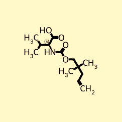 C=CCC(C)(C)COC(=O)N[C@H](C(=O)O)C(C)C